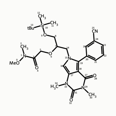 CON(C)C(=O)COC(CO[Si](C)(C)C(C)(C)C)Cn1cc2c(c1-c1cccc(C#N)c1)c(=O)n(C)c(=O)n2C